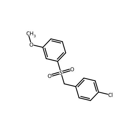 COc1cccc(S(=O)(=O)Cc2ccc(Cl)cc2)c1